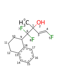 CC(O)(C=CF)C(F)(F)C1CCCc2ccccc21